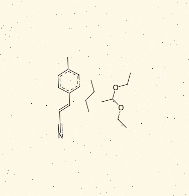 CCCC.CCOC(C)OCC.Cc1ccc(/C=C/C#N)cc1